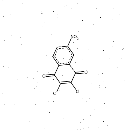 O=C1C(Cl)=C(Cl)C(=O)c2cc([N+](=O)[O-])ccc21